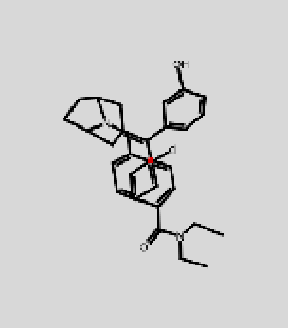 CCN(CC)C(=O)c1ccc(C(=C2CC3CCC(C2)N3Cc2ccccc2Cl)c2cccc(O)c2)cc1